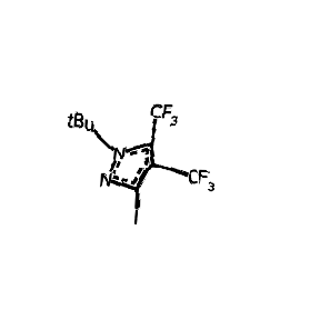 CC(C)(C)n1nc(I)c(C(F)(F)F)c1C(F)(F)F